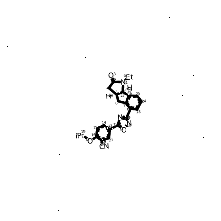 CCN1C(=O)C[C@@H]2Cc3c(-c4noc(-c5ccc(OC(C)C)c(C#N)c5)n4)cccc3[C@@H]21